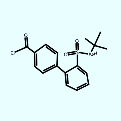 CC(C)(C)[AsH]S(=O)(=O)c1ccccc1-c1ccc(C(=O)Cl)cc1